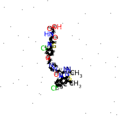 Cc1sc2c(c1C)C(c1ccc(Cl)cc1)=N[C@@H](CC(=O)N1CCN(CCOc3ccc(-c4nc(CC(=O)NCC(=O)O)cs4)c(Cl)c3)CC1)c1nnc(C)n1-2